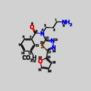 NCCCN(C(=O)c1cccc(C(=O)O)c1)c1nnc(-c2ccco2)s1